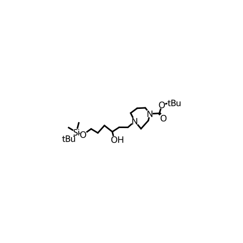 CC(C)(C)OC(=O)N1CCCN(CCC(O)CCCO[Si](C)(C)C(C)(C)C)CC1